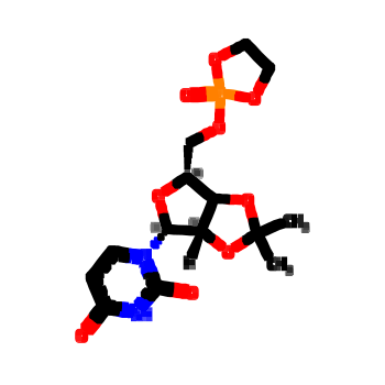 CC1(C)OC2[C@@H](COP3(=O)OCCO3)O[C@@H](n3ccc(=O)[nH]c3=O)[C@H]2O1